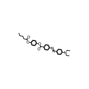 CCCCC(=O)Oc1ccc(OC(=O)c2ccc(N=Nc3ccc(N(CC)CC)cc3)cc2)cc1